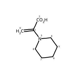 C=C(C(=O)O)N1CCCCC1